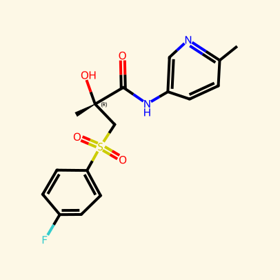 Cc1ccc(NC(=O)[C@@](C)(O)CS(=O)(=O)c2ccc(F)cc2)cn1